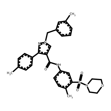 Cc1ccc(-c2nn(Cc3cccc(C)c3)cc2C(=O)Nc2ccc(C)c(S(=O)(=O)N3CCOCC3)c2)cc1